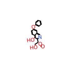 O=COC(CO)c1ncc2cc(Oc3ccccc3)ccc2c1O